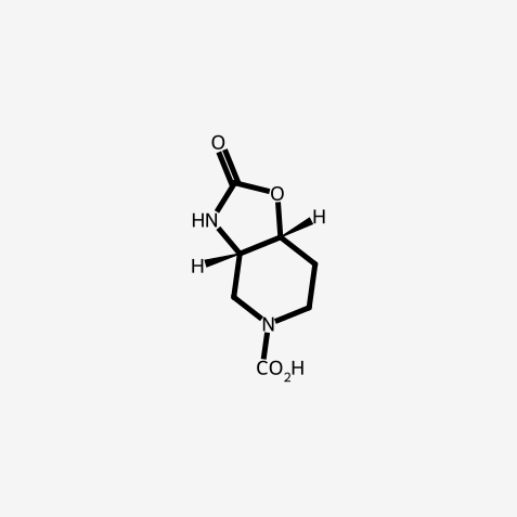 O=C1N[C@H]2CN(C(=O)O)CC[C@H]2O1